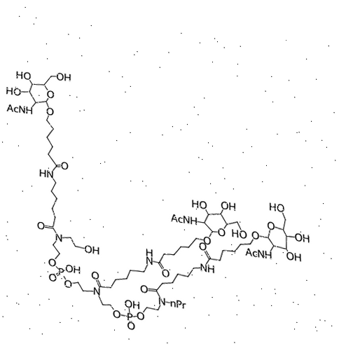 CCCN(CCOP(=O)(O)OCCN(CCOP(=O)(O)OCCN(CCO)C(=O)CCCCCNC(=O)CCCCCOC1OC(CO)C(O)C(O)C1NC(C)=O)C(=O)CCCCCNC(=O)CCCCCOC1OC(CO)C(O)C(O)C1NC(C)=O)C(=O)CCCCCNC(=O)CCCCCOC1OC(CO)C(O)C(O)C1NC(C)=O